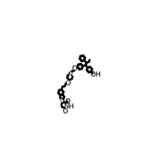 CCC(=C(c1ccc(O)cc1)c1ccc(OCCN2CCC(OCCCc3ccc4c(c3)CN(C3CCC(=O)NC3=O)C4)CC2)cc1)c1ccccc1